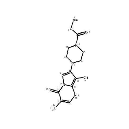 CC(C)(C)OC(=O)N1CCN(c2nn3c(=O)c(C(F)(F)F)c[nH]c3c2C#N)CC1